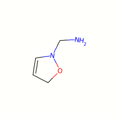 NCN1C=CCO1